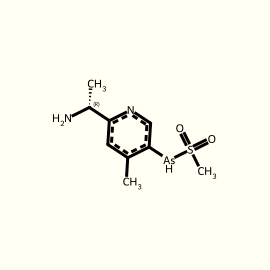 Cc1cc([C@@H](C)N)ncc1[AsH]S(C)(=O)=O